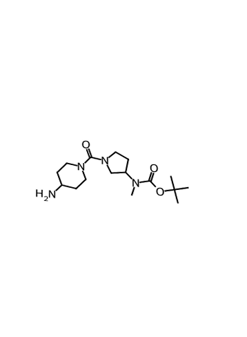 CN(C(=O)OC(C)(C)C)C1CCN(C(=O)N2CCC(N)CC2)C1